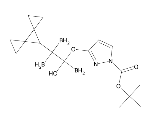 BC(O)(Oc1ccn(C(=O)OC(C)(C)C)n1)C(B)(B)C1C2(CC2)C12CC2